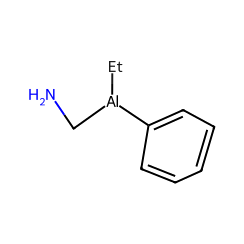 C[CH2][Al]([CH2]N)[c]1ccccc1